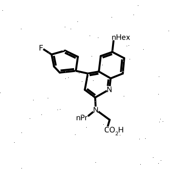 CCCCCCc1ccc2nc(N(CCC)CC(=O)O)cc(-c3ccc(F)cc3)c2c1